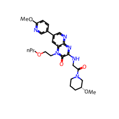 CCCOCCn1c(=O)c(NCC(=O)N2CCC[C@@H](OC)C2)nc2ncc(-c3ccc(OC)nc3)cc21